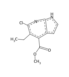 CCc1c(Cl)nc2[nH]ccc2c1C(=O)OC